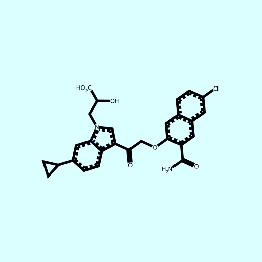 NC(=O)c1cc2cc(Cl)ccc2cc1OCC(=O)c1cn(CC(O)C(=O)O)c2cc(C3CC3)ccc12